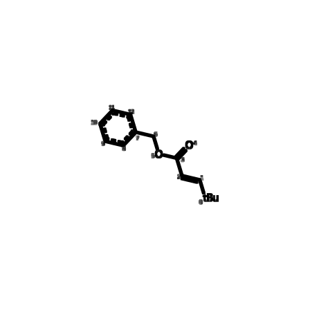 CC(C)(C)C=CC(=O)OCc1ccccc1